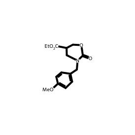 CCOC(=O)C1COC(=O)N(Cc2ccc(OC)cc2)C1